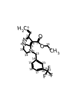 C=Cc1nn2c(c1C(=O)OCC)N(Cc1cccc(C(F)(F)F)c1)CC2